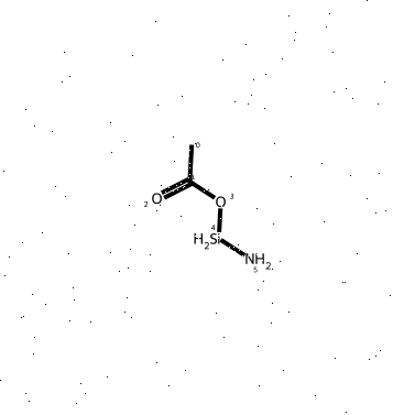 CC(=O)O[SiH2]N